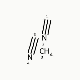 C.C#N.C#N